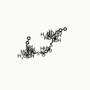 CC(=O)N[C@H]1[C@H]([C@H](O)[C@H](O)CNCc2ccc(-c3ccccc3)cc2)O[C@@](OCCCSCCNC(=O)c2ccc(C(=O)NCCSCCCO[C@]3(C(=O)O)C[C@H](O)[C@@H](NC(C)=O)[C@H]([C@H](O)[C@H](O)CNCc4ccc(-c5ccccc5)cc4)O3)cc2)(C(=O)O)C[C@@H]1O